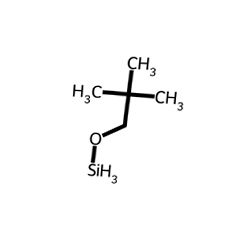 CC(C)(C)CO[SiH3]